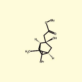 CCCC1=C(C)[C@H]2CC[C@@H]1C[C@@]2(O)CC(=O)OC(C)(C)C